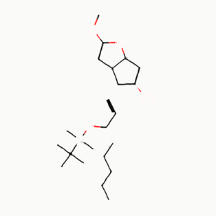 CCCCC[C@@H](/C=C/[C@@H]1[C@H]2CC(OC)O[C@H]2C[C@H]1O)O[Si](C)(C)C(C)(C)C